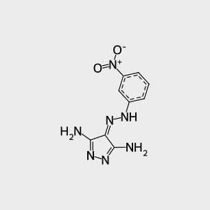 NC1=NN=C(N)C1=NNc1cccc([N+](=O)[O-])c1